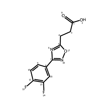 O=C(O)CCc1nc(-c2ccc(F)c(F)c2)no1